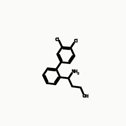 NC(CCO)c1ccccc1-c1ccc(Cl)c(Cl)c1